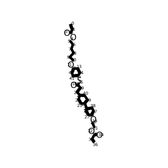 C=CC(=O)OCCCCCCOc1ccc(SC(=O)/C=C/c2ccc(-c3ccc(OCCOC(=O)C=C)cc3)cc2)cc1